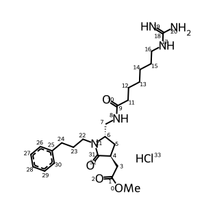 COC(=O)C[C@@H]1C[C@@H](CNC(=O)CCCCCCNC(=N)N)N(CCCc2ccccc2)C1=O.Cl